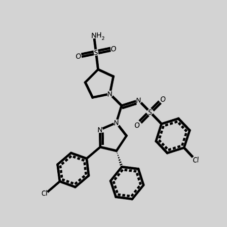 NS(=O)(=O)C1CCN(/C(=N/S(=O)(=O)c2ccc(Cl)cc2)N2C[C@H](c3ccccc3)C(c3ccc(Cl)cc3)=N2)C1